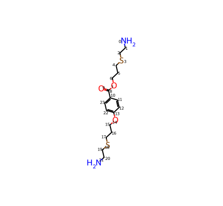 NCCSCCCOC(=O)c1ccc(OCCCSCCN)cc1